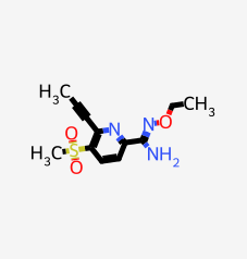 CC#Cc1nc(C(N)=NOCC)ccc1S(C)(=O)=O